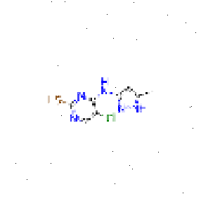 Cc1cc(Nc2nc(S)ncc2Cl)n[nH]1